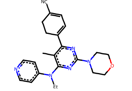 CCN(c1ccncc1)c1nc(N2CCOCC2)nc(C2=CC=C(C#N)CC2)c1C